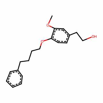 COc1cc(CCO)ccc1OCCCCc1ccccc1